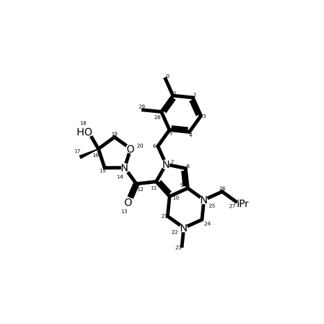 Cc1cccc(Cn2cc3c(c2C(=O)N2C[C@](C)(O)CO2)CN(C)CN3CC(C)C)c1C